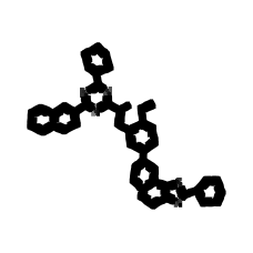 C=Cc1ccc(-c2ccc3ccc4nc(-c5ccccc5)sc4c3c2)cc1/C=C(\C)c1nc(-c2ccccc2)nc(-c2ccc3ccccc3c2)n1